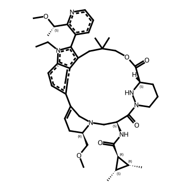 CCn1c(-c2cccnc2[C@H](C)OC)c2c3cc(ccc31)C1=CC[C@H](COC)N(C1)C[C@H](NC(=O)[C@H]1[C@H](C)[C@@H]1C)C(=O)N1CCC[C@H](N1)C(=O)OCC(C)(C)C2